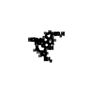 Cl.Nc1cc(C(=O)Nc2ccc3c(S(=O)(=O)O)cccc3c2S(=O)(=O)O)n(C2CC2)c1.[NaH].[NaH]